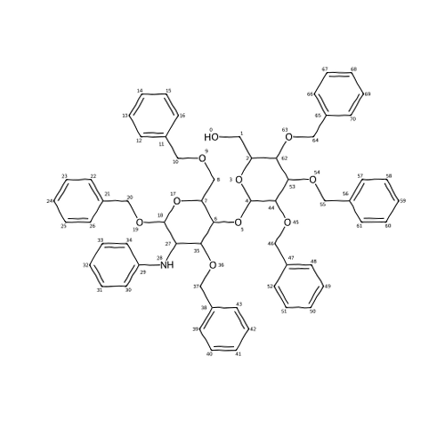 OCC1OC(OC2C(COCc3ccccc3)OC(OCc3ccccc3)C(Nc3ccccc3)C2OCc2ccccc2)C(OCc2ccccc2)C(OCc2ccccc2)C1OCc1ccccc1